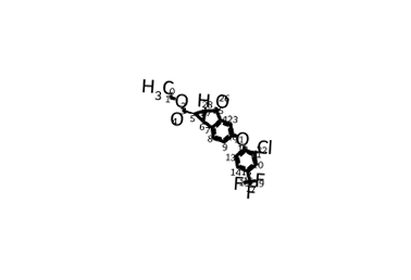 CCOC(=O)[C@@H]1C2c3ccc(Oc4ccc(C(F)(F)F)cc4Cl)cc3C(=O)[C@H]21